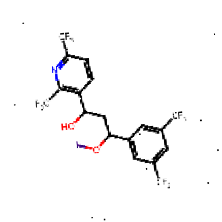 OC(CC(OI)c1cc(C(F)(F)F)cc(C(F)(F)F)c1)c1ccc(C(F)(F)F)nc1C(F)(F)F